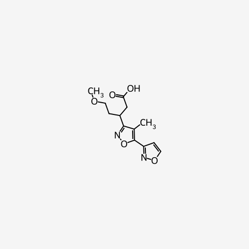 COCCC(CC(=O)O)c1noc(-c2ccon2)c1C